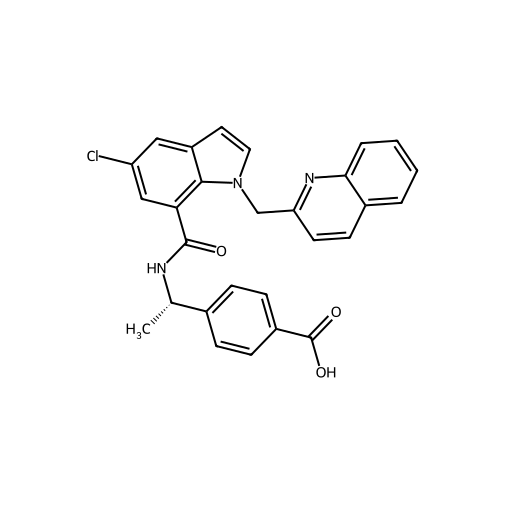 C[C@H](NC(=O)c1cc(Cl)cc2ccn(Cc3ccc4ccccc4n3)c12)c1ccc(C(=O)O)cc1